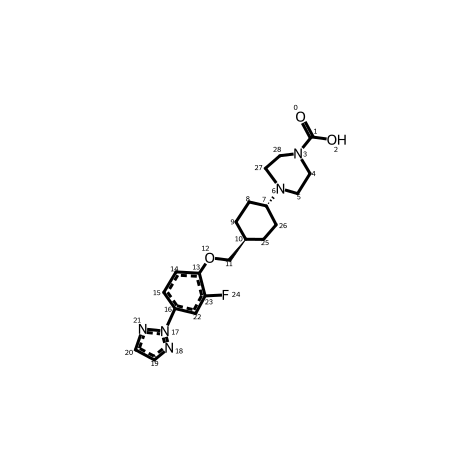 O=C(O)N1CCN([C@H]2CC[C@H](COc3ccc(-n4nccn4)cc3F)CC2)CC1